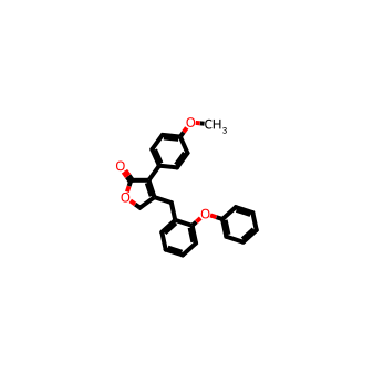 COc1ccc(C2=C(Cc3ccccc3Oc3ccccc3)COC2=O)cc1